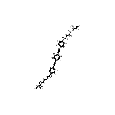 C=CC(=O)OCCCCOc1ccc(C#Cc2ccc(C#Cc3ccc(OCCCCOC(=O)C=C)cc3)cc2)cc1